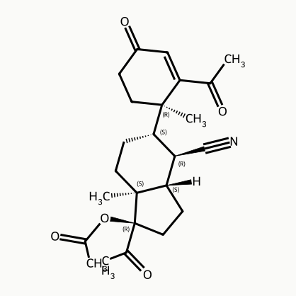 CC(=O)O[C@]1(C(C)=O)CC[C@H]2[C@H](C#N)[C@@H]([C@@]3(C)CCC(=O)C=C3C(C)=O)CC[C@@]21C